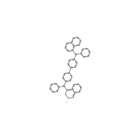 C[C@H]1C=c2ccccc2=C(N(c2ccccc2)c2ccc(-c3ccc(N(c4ccccc4)c4cccc5ccccc45)cc3)cc2)C1